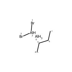 [AlH3].[Br][AlH][Br].[CH2]CCC